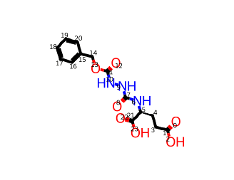 O=C(O)CC[C@H](NC(=O)NNC(=O)OCc1ccccc1)C(=O)O